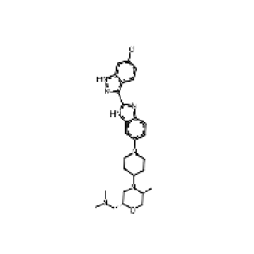 C[C@H]1CO[C@H](CN(C)C)CN1C1CCN(c2ccc3nc(-c4n[nH]c5cc(Cl)ccc45)[nH]c3c2)CC1